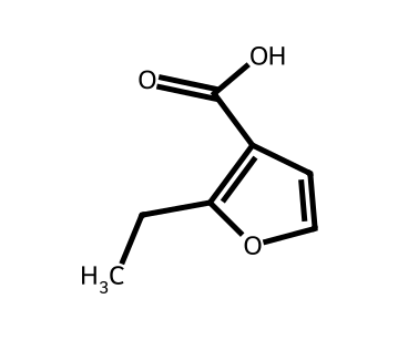 CCc1occc1C(=O)O